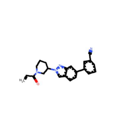 C=CC(=O)N1CCCC(n2cc3ccc(-c4cccc(C#N)c4)cc3n2)C1